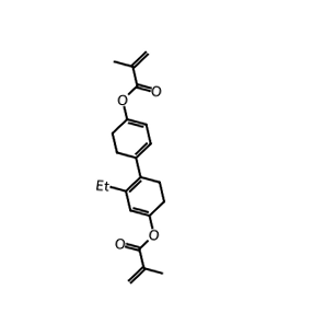 C=C(C)C(=O)OC1=CC=C(C2=C(CC)C=C(OC(=O)C(=C)C)CC2)CC1